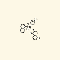 CCN(CCN(c1ccc(OC)nc1)S(=O)(=O)c1cccc2ccccc12)C(=O)c1cccc(F)c1